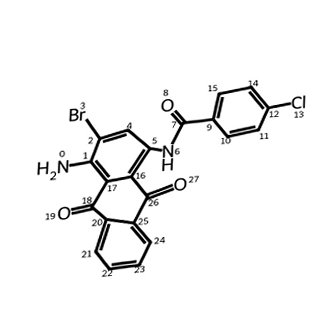 Nc1c(Br)cc(NC(=O)c2ccc(Cl)cc2)c2c1C(=O)c1ccccc1C2=O